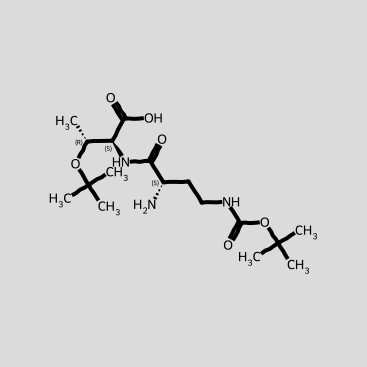 C[C@@H](OC(C)(C)C)[C@H](NC(=O)[C@@H](N)CCNC(=O)OC(C)(C)C)C(=O)O